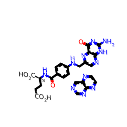 Nc1nc(=O)c2nc(CNc3ccc(C(=O)N[C@@H](CCC(=O)O)C(=O)O)cc3)cnc2[nH]1.c1cnc2ncncc2n1